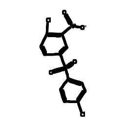 O=[N+]([O-])c1cc(S(=O)(=O)c2ccc(Cl)cc2)ccc1Cl